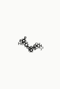 CC(C)(C)OC(=O)Nc1cccnc1COC1CCC(c2cc(F)cc(F)c2O)CC1